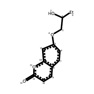 CCC(O)COc1ccc2ccc(=O)oc2c1